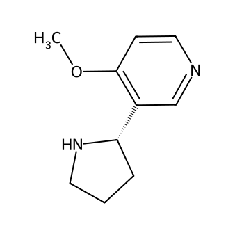 COc1ccncc1[C@@H]1CCCN1